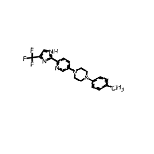 Cc1ccc(N2CCN(c3ccc(-c4nc(C(F)(F)F)c[nH]4)nc3)CC2)cc1